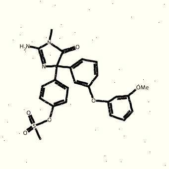 COc1cccc(Oc2cccc(C3(c4ccc(OS(C)(=O)=O)cc4)N=C(N)N(C)C3=O)c2)c1